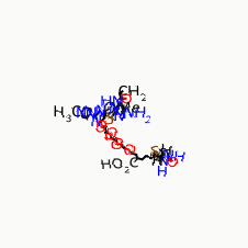 C=CC(=O)Nc1cc(N)nc(Sc2c(OC)nc(N3CCN(C)CC3)nc2OCCOCCOCCOCCC(CCC[C@H]2SC[C@H]3NC(=O)N[C@H]32)C(=O)O)n1